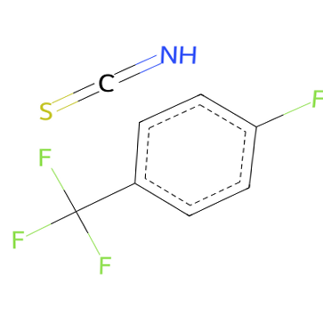 Fc1ccc(C(F)(F)F)cc1.N=C=S